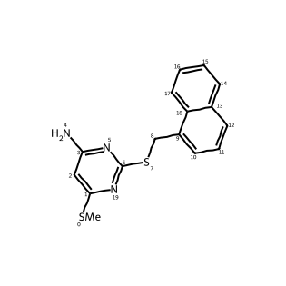 CSc1cc(N)nc(SCc2cccc3ccccc23)n1